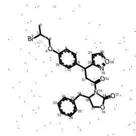 CC(Br)COc1ccc(C(CC(=O)N2C(=O)OCC2Cc2ccccc2)c2ccon2)cc1